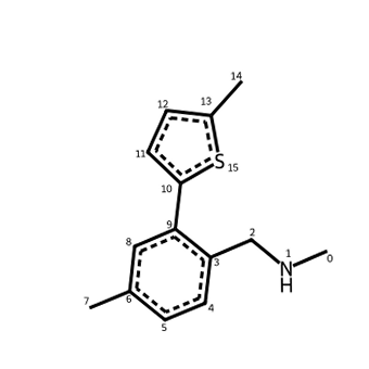 CNCc1ccc(C)cc1-c1ccc(C)s1